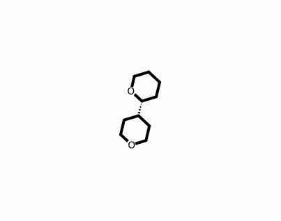 C1CC[C@H](C2CCOCC2)OC1